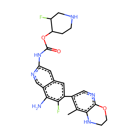 Cc1c(-c2cc3cc(NC(=O)OC4CCNCC4F)ncc3c(N)c2F)cnc2c1NCCO2